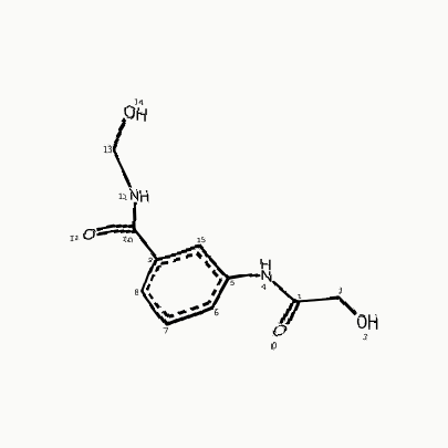 O=C(CO)Nc1cccc(C(=O)NCO)c1